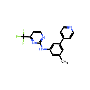 Cc1cc(Nc2nccc(C(F)(F)F)n2)cc(-c2ccncc2)c1